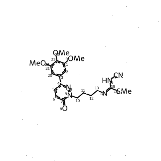 COc1cc(-c2ccc(=O)n(CCCCN=C(NC#N)SC)n2)cc(OC)c1OC